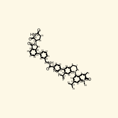 Cc1cc2c(N3CCCc4cc(-c5ccc(C(=O)NCc6cccc(-c7cccc8c7CN(C7CCC(=O)NC7=O)C8=O)c6)nc5)c(C(F)F)cc43)cc(C(C)C)cc2n(C)c1=O